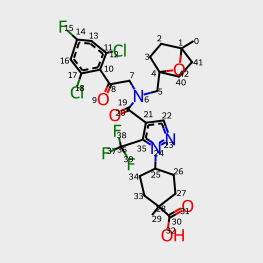 CC12CCC(CN(CC(=O)c3c(Cl)cc(F)cc3Cl)C(=O)c3cnn(C4CCC(C)(C(=O)O)CC4)c3C(F)(F)F)(CC1)O2